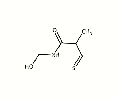 CC(C=S)C(=O)NCO